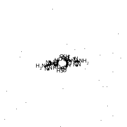 Nc1ncnc2c1ncn2[C@@H]1O[C@@H]2COP(=O)(S)O[C@H]3[C@@H](F)[C@H](n4cnc5c(N)ncnc54)O[C@@H]3COP(=O)(S)CO[C@H]2[C@H]1F